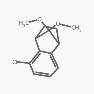 COC1(OC)C2CCC1c1c(Cl)cccc12